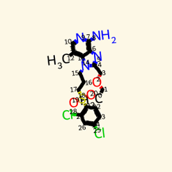 CCOCc1nc2c(N)ncc(C)c2n1CCCS(=O)(=O)c1ccc(Cl)cc1Cl